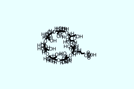 CCCCOS(=O)(=O)O.OC[C@H]1O[C@@H]2O[C@H]3[C@H](O)[C@@H](O)[C@@H](O[C@H]4[C@H](O)[C@@H](O)[C@@H](O[C@H]5[C@H](O)[C@@H](O)[C@@H](O[C@H]6[C@H](O)[C@@H](O)[C@@H](O[C@H]7[C@H](O)[C@@H](O)[C@@H](O[C@H]8[C@H](O)[C@@H](O)[C@@H](O[C@H]1[C@H](O)[C@H]2O)O[C@@H]8CO)O[C@@H]7CO)O[C@@H]6CO)O[C@@H]5CO)O[C@@H]4CO)O[C@@H]3CO